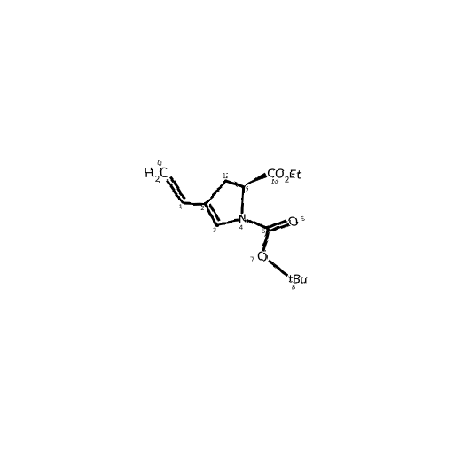 C=CC1=CN(C(=O)OC(C)(C)C)[C@H](C(=O)OCC)C1